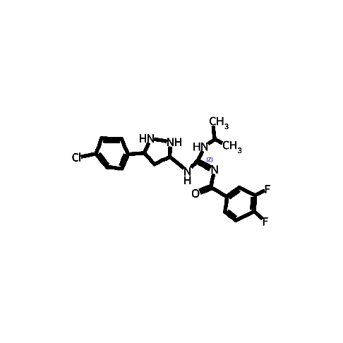 CC(C)N/C(=N/C(=O)c1ccc(F)c(F)c1)NC1CC(c2ccc(Cl)cc2)NN1